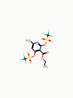 CCOC(=O)c1c(OS(=O)(=O)C(F)(F)F)cc(C)nc1OS(=O)(=O)C(F)(F)F